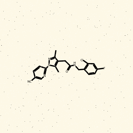 Cc1nn(-c2ccc(C#N)cn2)c(C)c1CC(=O)NCc1ccc(F)cc1Cl